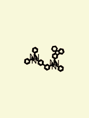 c1ccc(-c2nc(-c3ccccc3)nc(-c3ccc(-c4cccc(-c5nc(-c6ccccc6)nc(-c6ccc7c(c6)-c6ccccc6C76CCCCC6)n5)c4)cc3)n2)cc1